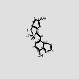 O=S1(=O)Nc2ccc(O)cc2C1=Cc1ccc(O)c2ncccc12